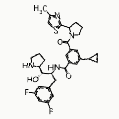 Cc1csc(C2CCCN2C(=O)c2cc(C(=O)N[C@@H](Cc3cc(F)cc(F)c3)[C@H](O)C3CCCN3)cc(C3CC3)c2)n1